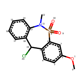 COc1ccc2c(c1)S(=O)(=O)N(C)c1ccccc1C2Cl